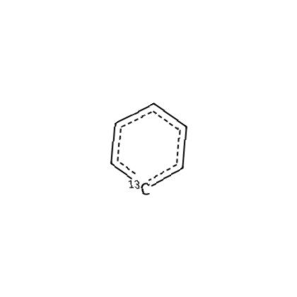 c1cc[13cH]cc1